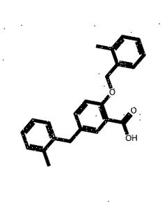 Cc1ccccc1COc1ccc(Cc2ccccc2C)cc1C(=O)O